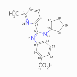 Cc1cccc(-c2nc3cc(C(=O)O)ccc3n2C2CCCC2)n1